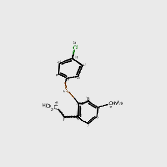 COc1ccc(CC(=O)O)c(Sc2ccc(Cl)cc2)c1